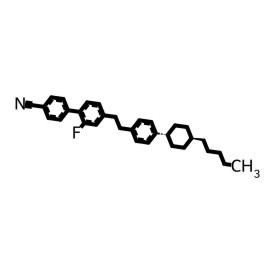 CCCCC[C@H]1CC[C@H](c2ccc(CCc3ccc(-c4ccc(C#N)cc4)c(F)c3)cc2)CC1